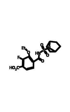 CCOc1c(C(=O)NS(=O)(=O)N2C3CCC2CC3)ccc(C(=O)O)c1F